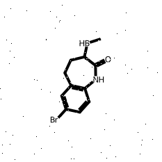 CBC1CCc2cc(Br)ccc2NC1=O